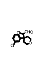 O=CC(Cl)C1(c2cccc(Cl)c2)CCOCC1